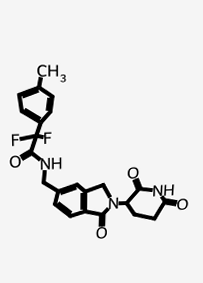 Cc1ccc(C(F)(F)C(=O)NCc2ccc3c(c2)CN(C2CCC(=O)NC2=O)C3=O)cc1